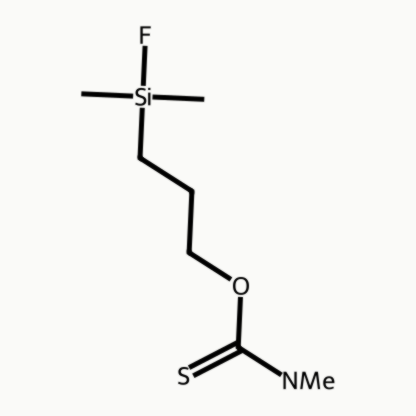 CNC(=S)OCCC[Si](C)(C)F